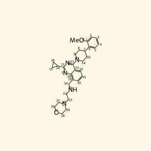 COc1ccccc1C1CCN(c2nc(C3CC3)nc3c(CNCCN4CCOCC4)cccc23)CC1